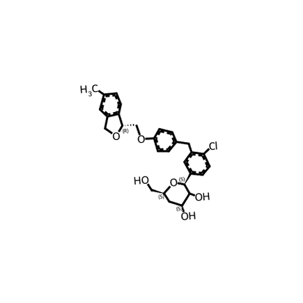 Cc1ccc2c(c1)CO[C@H]2COc1ccc(Cc2cc([C@@H]3O[C@H](CO)C[C@H](O)C3O)ccc2Cl)cc1